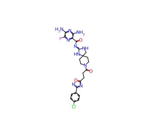 Nc1nc(N)c(C(=O)/N=C2\NCC3(CCN(C(=O)CCc4nc(-c5ccc(Cl)cc5)no4)CC3)N2)nc1I